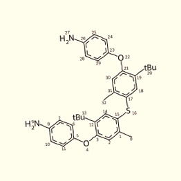 Cc1cc(Oc2ccc(N)cc2)c(C(C)(C)C)cc1Sc1cc(C(C)(C)C)c(Oc2ccc(N)cc2)cc1C